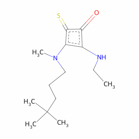 CCNc1c(N(C)CCCC(C)(C)C)c(=S)c1=O